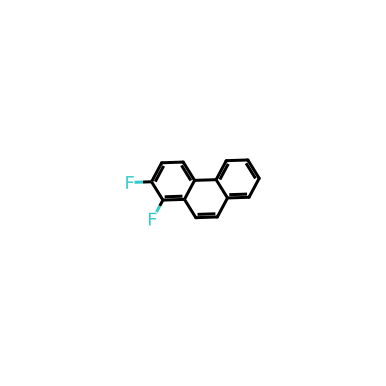 Fc1ccc2c(ccc3ccccc32)c1F